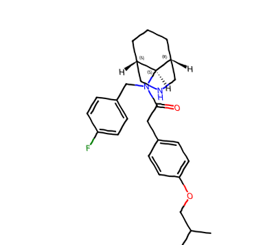 CC(C)COc1ccc(CC(=O)N(Cc2ccc(F)cc2)[C@@H]2[C@@H]3CCC[C@H]2CNC3)cc1